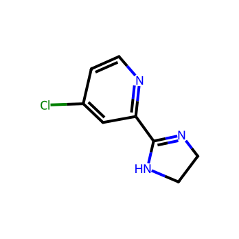 Clc1ccnc(C2=NCCN2)c1